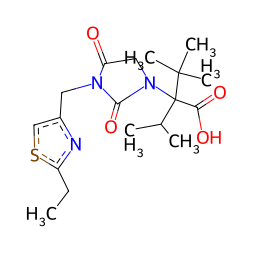 CCc1nc(CN2C(=O)CN(C(C(=O)O)(C(C)C)C(C)(C)C)C2=O)cs1